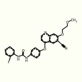 COCCOc1cc2nccc(Oc3ccc(NC(=O)Nc4ccccc4F)cc3)c2cc1C#N